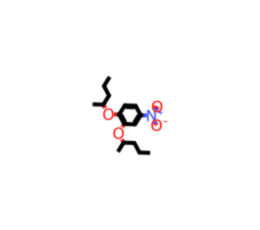 CCCC(C)Oc1ccc([N+](=O)[O-])cc1OC(C)CCC